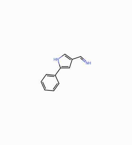 N=Cc1c[nH]c(-c2ccccc2)c1